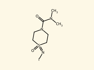 CN(C)C(=O)N1CCS(=O)(=NI)CC1